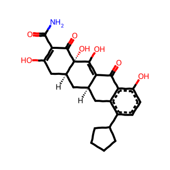 NC(=O)C1=C(O)C[C@@H]2C[C@@H]3Cc4c(C5CCCC5)ccc(O)c4C(=O)C3=C(O)[C@]2(O)C1=O